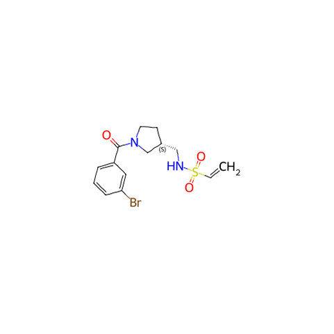 C=CS(=O)(=O)NC[C@H]1CCN(C(=O)c2cccc(Br)c2)C1